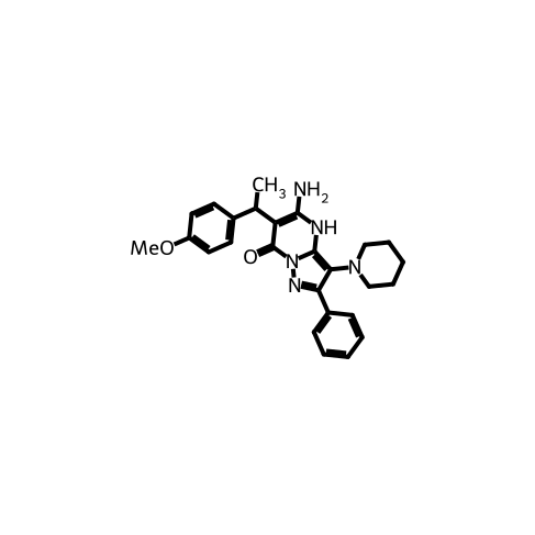 COc1ccc(C(C)c2c(N)[nH]c3c(N4CCCCC4)c(-c4ccccc4)nn3c2=O)cc1